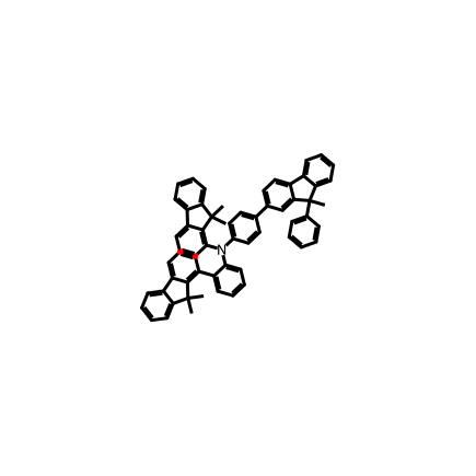 CC1(C)c2ccccc2-c2cccc(-c3ccccc3N(c3ccc(-c4ccc5c(c4)C(C)(c4ccccc4)c4ccccc4-5)cc3)c3cccc4c3C(C)(C)c3ccccc3-4)c21